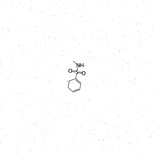 CNS(=O)(=O)C1=CC=CC[CH]1